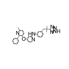 Cc1ccc(Oc2ccnc(Nc3cccc(CC(C)(C)c4nn[nH]n4)c3)c2)c(-c2ccccc2)n1